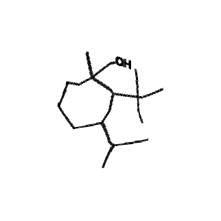 CC(C)C1CCCC(C)(O)C1C(C)(C)C